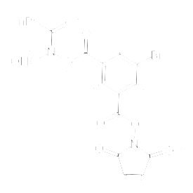 CCCC(=O)N(C=O)OC(=O)c1cc(Br)cc(C(=O)ON2C(=O)CCC2=O)c1